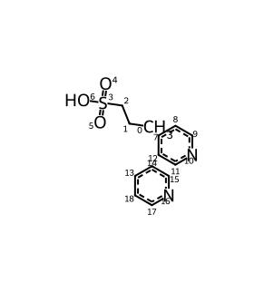 CCCS(=O)(=O)O.c1ccncc1.c1ccncc1